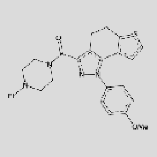 CCN1CCN(C(=O)c2nn(-c3ccc(OC)nc3)c3c2CCc2sccc2-3)CC1